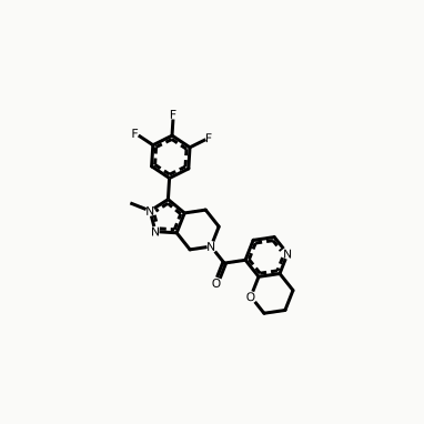 Cn1nc2c(c1-c1cc(F)c(F)c(F)c1)CCN(C(=O)c1ccnc3c1OCCC3)C2